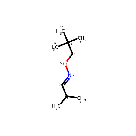 CC(C)/C=N/OCC(C)(C)C